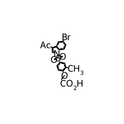 CC(=O)c1cn(S(=O)(=O)c2ccc(OCC(=O)O)c(C)c2)c2ccc(Br)cc12